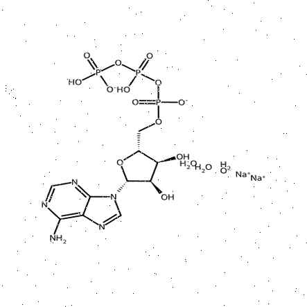 Nc1ncnc2c1ncn2[C@@H]1O[C@H](COP(=O)([O-])OP(=O)(O)OP(=O)([O-])O)[C@@H](O)[C@H]1O.O.O.O.[Na+].[Na+]